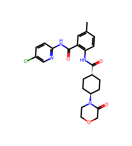 Cc1ccc(NC(=O)[C@H]2CC[C@H](N3CCOCC3=O)CC2)c(C(=O)Nc2ccc(Cl)cn2)c1